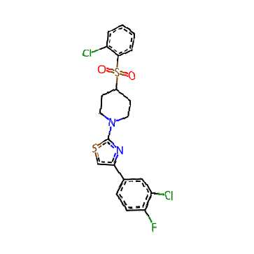 O=S(=O)(c1ccccc1Cl)C1CCN(c2nc(-c3ccc(F)c(Cl)c3)cs2)CC1